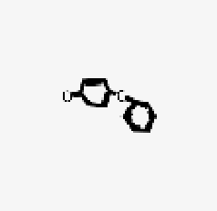 O=C1C=CC(Cc2[c]cccc2)=CC1